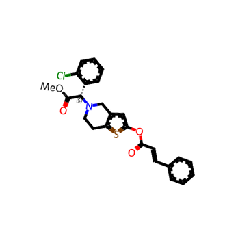 COC(=O)[C@H](c1ccccc1Cl)N1CCc2sc(OC(=O)C=Cc3ccccc3)cc2C1